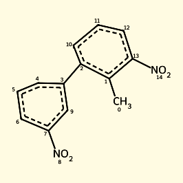 Cc1c(-c2cccc([N+](=O)[O-])c2)[c]ccc1[N+](=O)[O-]